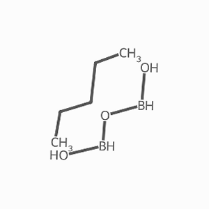 CCCCC.OBOBO